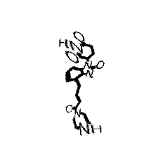 Cn1c(=O)n(C2CCC(=O)NC2=O)c2cccc(CCCC(=O)N3CCNCC3)c21